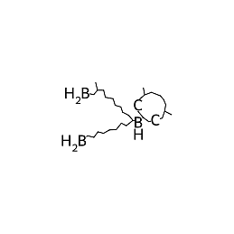 BCCCCCCCCC(BC1CCCC(C)CCCCC(C)CCC1)CCCCCCCC(C)CB